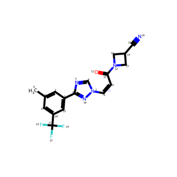 Cc1cc(-c2ncn(/C=C\C(=O)N3CC(C#N)C3)n2)cc(C(F)(F)F)c1